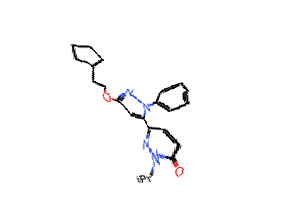 CC(C)n1nc(-c2cc(OCCC3CCCC3)nn2-c2ccccc2)ccc1=O